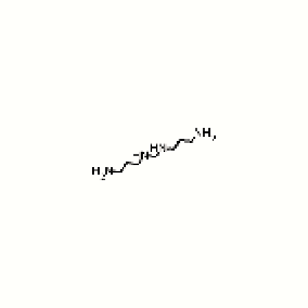 NCCCNCNCCCN